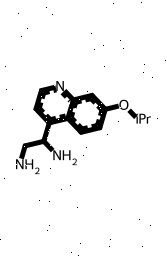 CC(C)Oc1ccc2c(C(N)CN)ccnc2c1